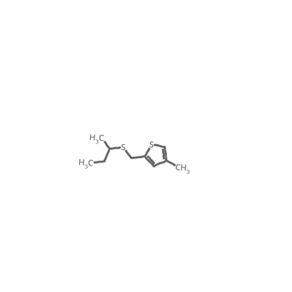 CCC(C)SCc1cc(C)cs1